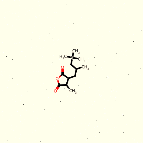 CC(CC1C(=O)OC(=O)C1C)C[Si](C)(C)C